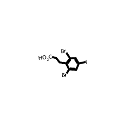 O=C(O)CCc1c(Br)cc(I)cc1Br